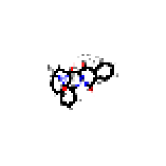 O=C(O)c1c(CN2C3CC[C@H]2CC(O)C3)n(-c2ccccc2)c(=O)c2ccccc12